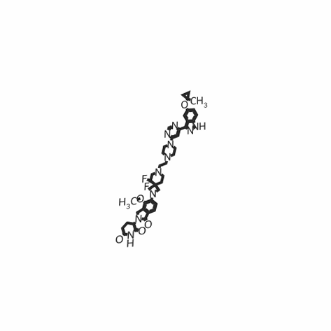 COc1c(N2CC3(CCN(CCN4CCN(c5cc(-c6n[nH]c7ccc(OC8(C)CC8)cc67)ncn5)CC4)CC3(F)F)C2)ccc2c1CN(C1CCC(=O)NC1=O)C2=O